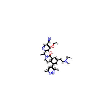 CCOc1cc(C(C)N2CCc3c(cc(CCN(C)CC)cc3-c3cc(C)nnc3C)C2=O)ncc1C#N